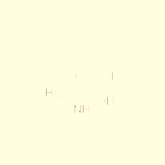 NC1C(O)OC(CF)C(O)C1O